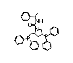 CC(NC(=O)N1C[C@@H](P(c2ccccc2)c2ccccc2)C[C@H]1CP(c1ccccc1)c1ccccc1)c1ccccc1